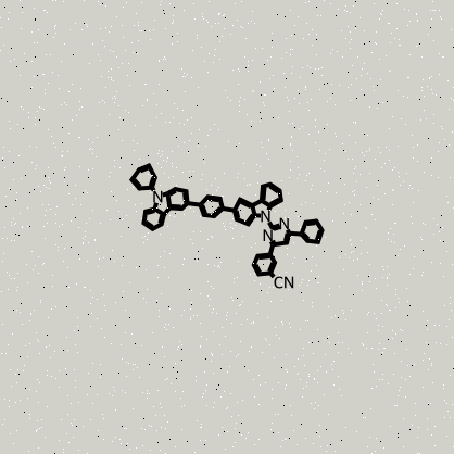 N#Cc1cccc(-c2cc(-c3ccccc3)nc(-n3c4ccccc4c4cc(-c5ccc(-c6ccc7c(c6)c6ccccc6n7-c6ccccc6)cc5)ccc43)n2)c1